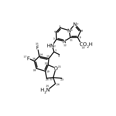 CC(Nc1ccn2ncc(C(=O)O)c2n1)c1c(F)c(F)cc2c1OC(C)(CN)C2